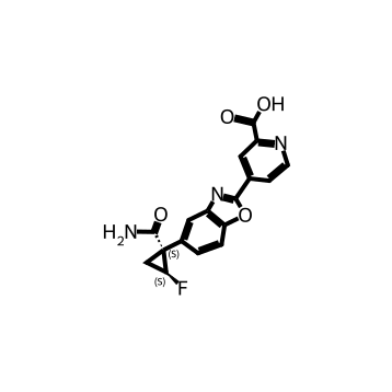 NC(=O)[C@@]1(c2ccc3oc(-c4ccnc(C(=O)O)c4)nc3c2)C[C@@H]1F